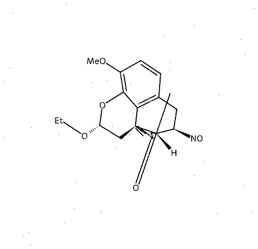 CCO[C@H]1C[C@]23C=CC(=O)C[C@H]2[C@H](N=O)Cc2ccc(OC)c(c23)O1